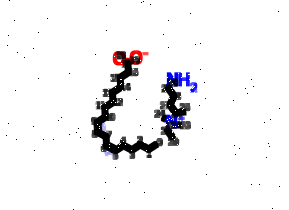 CCCCC/C=C\C/C=C\CCCCCCCC(=O)[O-].CC[N+](C)(C)C(C)CCCN